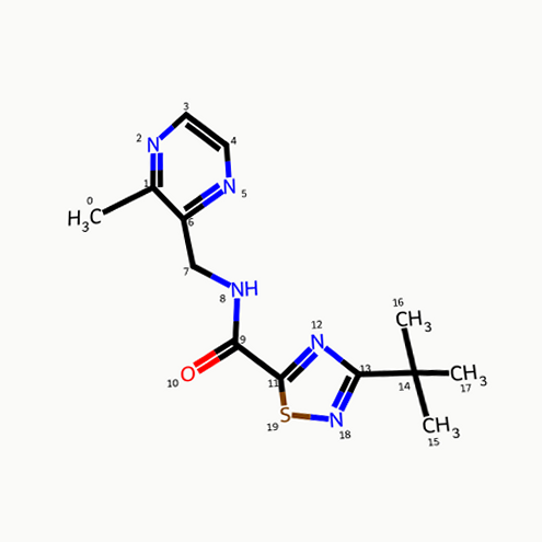 Cc1nccnc1CNC(=O)c1nc(C(C)(C)C)ns1